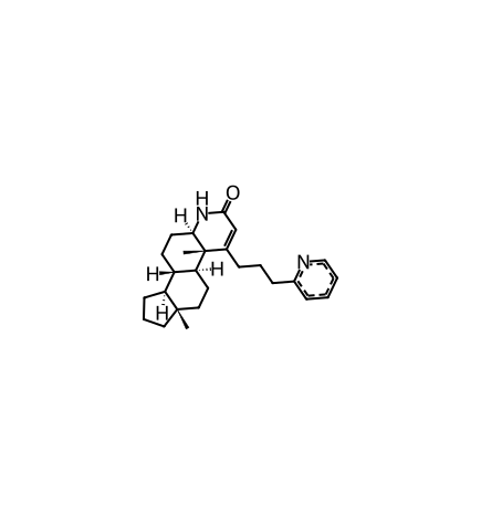 C[C@@]12CCC[C@H]1[C@@H]1CC[C@H]3NC(=O)C=C(CCCc4ccccn4)[C@]3(C)[C@H]1CC2